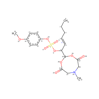 CCC/C=C/C(OS(=O)(=O)Oc1ccc(OC)cc1)B1OC(=O)CN(C)CC(=O)O1